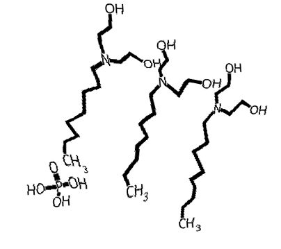 CCCCCCCCN(CCO)CCO.CCCCCCCCN(CCO)CCO.CCCCCCCCN(CCO)CCO.O=P(O)(O)O